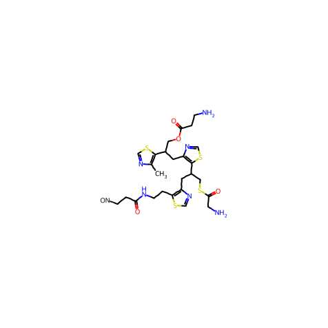 Cc1ncsc1C(COC(=O)CCN)Cc1ncsc1C(CSC(=O)CN)Cc1ncsc1CCNC(=O)CCN=O